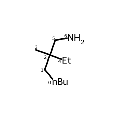 CCCCCC(C)(CC)CN